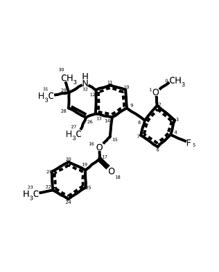 COc1cc(F)ccc1-c1ccc2c(c1COC(=O)c1ccc(C)cc1)C(C)=CC(C)(C)N2